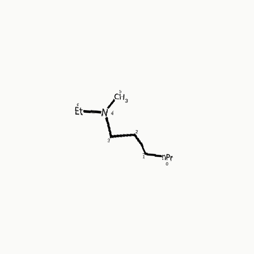 CCC[CH]CCN(C)CC